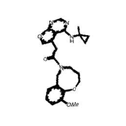 COc1cccc2c1OCCCN(C(=O)Cc1coc3ncnc(NC4(C)CC4)c13)C2